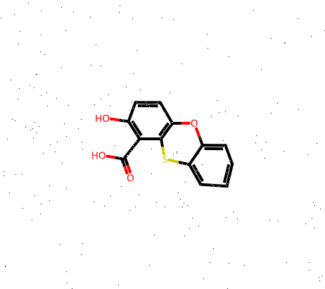 O=C(O)c1c(O)ccc2c1Sc1ccccc1O2